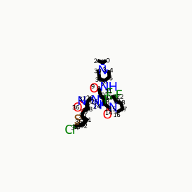 CC(C)N1CCC(NC(=O)c2cc(C(=O)N3CCCC3C(F)(F)F)nn2Cc2cc(-c3ccc(Cl)s3)on2)CC1